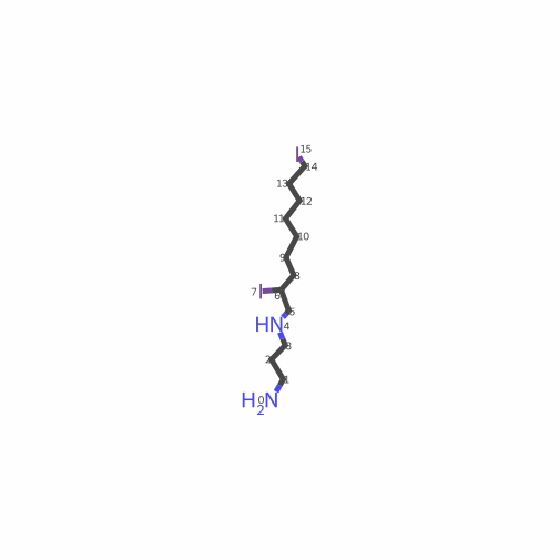 NCCCNCC(I)CCCCCCCI